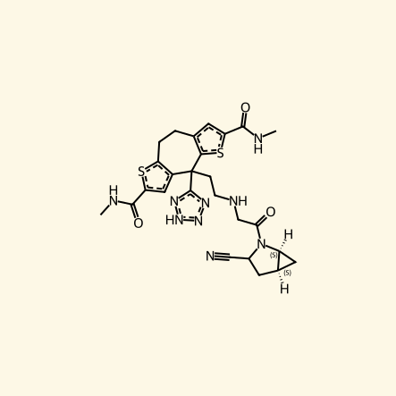 CNC(=O)c1cc2c(s1)CCc1cc(C(=O)NC)sc1C2(CCNCC(=O)N1C(C#N)C[C@@H]2C[C@@H]21)c1nn[nH]n1